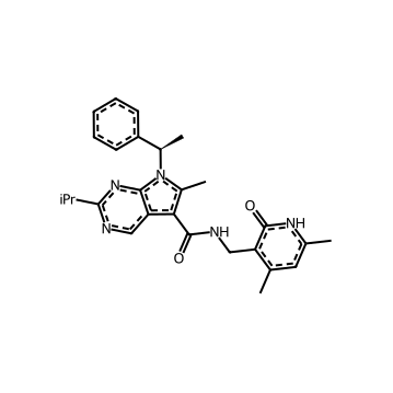 Cc1cc(C)c(CNC(=O)c2c(C)n([C@H](C)c3ccccc3)c3nc(C(C)C)ncc23)c(=O)[nH]1